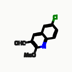 COc1nc2ccc(Cl)cc2cc1C=O